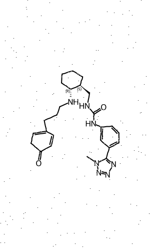 Cn1nnnc1-c1cccc(NC(=O)NC[C@@H]2CCCC[C@H]2NCCCC2=CCC(=O)C=C2)c1